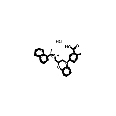 Cc1ccc(N2CC(CN[C@H](C)c3cccc4ccccc34)Oc3ccccc32)cc1C(=O)O.Cl